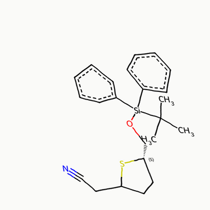 CC(C)(C)[Si](OC[C@@H]1CCC(CC#N)S1)(c1ccccc1)c1ccccc1